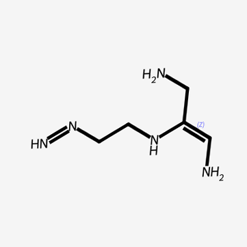 N=NCCN/C(=C\N)CN